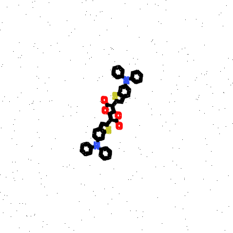 O=C1OC2=C(c3cc4ccc(N(c5ccccc5)c5ccccc5)cc4s3)C(=O)OC2=C1c1cc2ccc(N(c3ccccc3)c3ccccc3)cc2s1